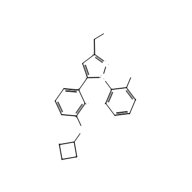 OCc1cc(-c2cccc(OC3CCC3)c2)n(-c2ccccc2F)n1